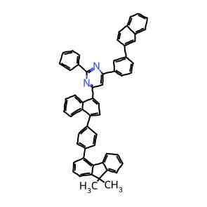 CC1(C)c2ccccc2-c2c(-c3ccc(-c4ccc(-c5cc(-c6cccc(-c7ccc8ccccc8c7)c6)nc(-c6ccccc6)n5)c5ccccc45)cc3)cccc21